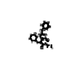 COC(=O)C(CC1CCCCC1)N1CC(Oc2ccccc2)=CC1=O